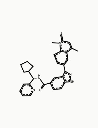 Cc1cc(=O)n(C)c2ccc(-c3n[nH]c4ccc(C(=O)N[C@H](c5ccccn5)C5CCCC5)cc34)cc12